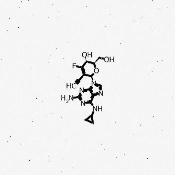 C#CC1=C(F)[C@H](O)[C@@H](CO)O[C@H]1n1cnc2c(NC3CC3)nc(N)nc21